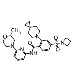 C[C@@H]1CN(c2cccc(NC(=O)c3ccc(S(=O)(=O)N4CCC4)cc3N3CCC4(CC3)CC4)n2)CCO1